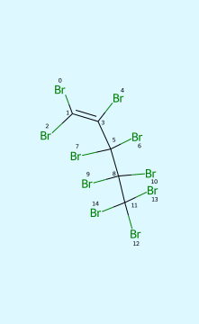 BrC(Br)=C(Br)C(Br)(Br)C(Br)(Br)C(Br)(Br)Br